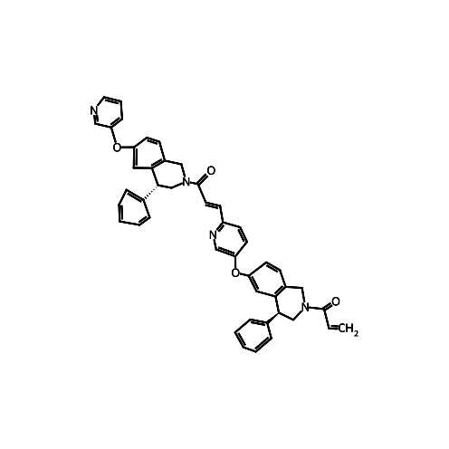 C=CC(=O)N1Cc2ccc(Oc3ccc(/C=C/C(=O)N4Cc5ccc(Oc6cccnc6)cc5[C@@H](c5ccccc5)C4)nc3)cc2[C@H](c2ccccc2)C1